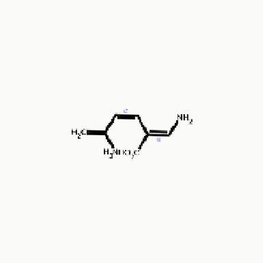 C=C(N)/C=C\C(=C/N)C(=O)O